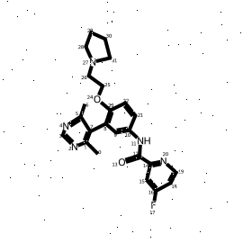 Cc1ncnc(C)c1-c1cc(NC(=O)c2cc(F)ccn2)ccc1OCCN1CCCC1